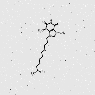 CC(O)CCCCCCCCCN1CN(C)c2c1n(C)c(=O)[nH]c2=O